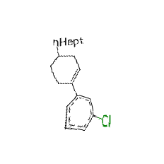 CCCCCCCC1CC=C(c2cccc(Cl)c2)CC1